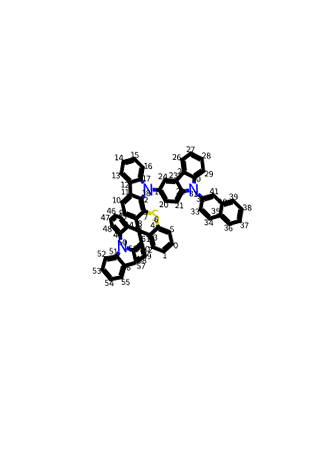 c1ccc2c(c1)Sc1c(ccc3c4ccccc4n(-c4ccc5c(c4)c4ccccc4n5-c4ccc5ccccc5c4)c13)C21c2ccccc2-n2c3ccccc3c3cccc1c32